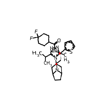 Cc1nnc(C(C)C)n1C1CC2CCC(C1)N2CC[C@H](NC(=O)C1CCC(F)(F)CC1)c1cccs1